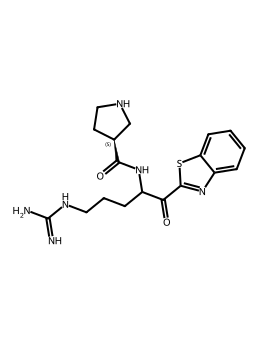 N=C(N)NCCCC(NC(=O)[C@H]1CCNC1)C(=O)c1nc2ccccc2s1